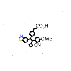 COc1ccc(C(=C(c2ccc(C=CC(=O)O)cc2)c2ccc3scnc3c2)C2CCC2)c(C#N)c1